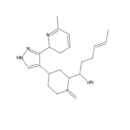 C=C1CCC(c2c[nH]nc2C2CC=CC(C)=N2)CC1C(CCC)CC/C=C/C